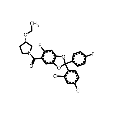 CCO[C@H]1CCN(C(=O)c2cc3c(cc2F)OC(c2ccc(F)cc2)(c2ccc(Cl)cc2Cl)O3)C1